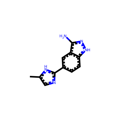 Cc1cnc(-c2ccc3[nH]nc(N)c3c2)[nH]1